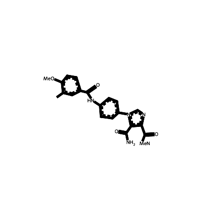 CNC(=O)c1ncn(-c2ccc(NC(=O)c3ccc(OC)c(C)c3)cc2)c1C(N)=O